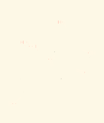 O.O.O=c1cc(-c2ccc(O)cc2)oc2cc(O)cc(O)c12